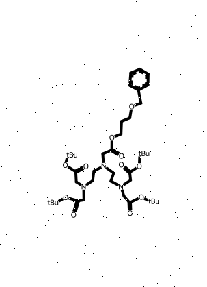 CC(C)(C)OC(=O)CN(CCN(CCN(CC(=O)OC(C)(C)C)CC(=O)OC(C)(C)C)CC(=O)OCCCOCc1ccccc1)CC(=O)OC(C)(C)C